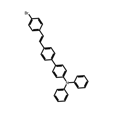 Brc1ccc(/C=C/c2ccc(-c3ccc(N(c4ccccc4)c4ccccc4)cc3)cc2)cc1